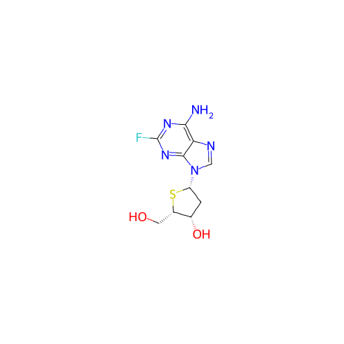 Nc1nc(F)nc2c1ncn2[C@@H]1C[C@H](O)[C@H](CO)S1